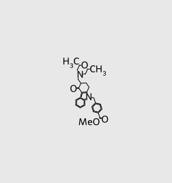 COC(=O)c1ccc(Cn2c3c(c4ccccc42)C(=O)C(CN2CC(C)OC(C)C2)CC3)cc1